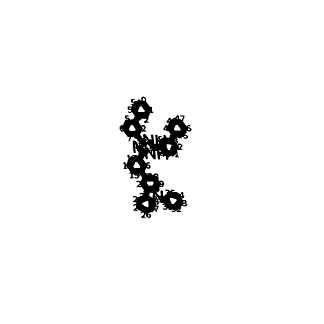 c1ccc(-c2cccc(C3N=C(c4cccc(-c5ccc6c(c5)c5ccccc5n6-c5ccccc5)c4)NC(c4cccc(-c5ccccc5)c4)N3)c2)cc1